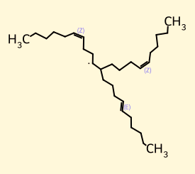 CCCCC/C=C\CC[CH]C(CCC/C=C\CCCCC)CCC/C=C/CCCCC